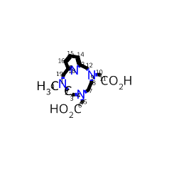 CN1CCN(CC(=O)O)CCN(CC(=O)O)Cc2cccc(n2)C1